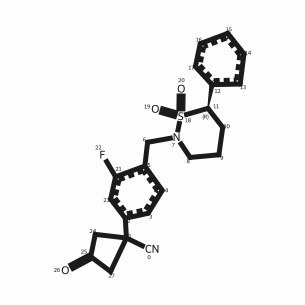 N#CC1(c2ccc(CN3CCC[C@H](c4ccccc4)S3(=O)=O)c(F)c2)CC(=O)C1